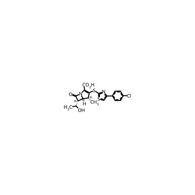 CC(O)[C@@H]1C(=O)N2C(C(=O)O)=C(Sc3nc(-c4ccc(Cl)cc4)cs3)[C@H](C)[C@@H]12